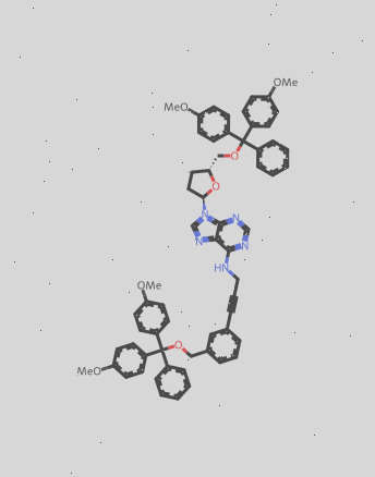 COc1ccc(C(OCc2cccc(C#CCNc3ncnc4c3ncn4[C@H]3C[CH][C@H](COC(c4ccccc4)(c4ccc(OC)cc4)c4ccc(OC)cc4)O3)c2)(c2ccccc2)c2ccc(OC)cc2)cc1